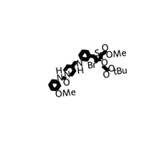 COC(=O)c1sc(-c2cccc(NCC3CCN(C(=O)Nc4cccc(OC)c4)CC3)c2)c(Br)c1OCC(=O)OC(C)(C)C